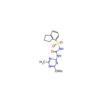 COc1nc(C)nc(NC(=O)NS(=O)(=O)c2cccc3c2CCC3)n1